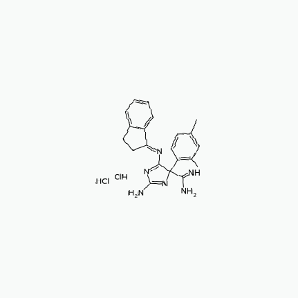 Cc1ccc(C2(C(=N)N)N=C(N)N=C2N=C2CCc3ccccc32)c(C)c1.Cl.Cl